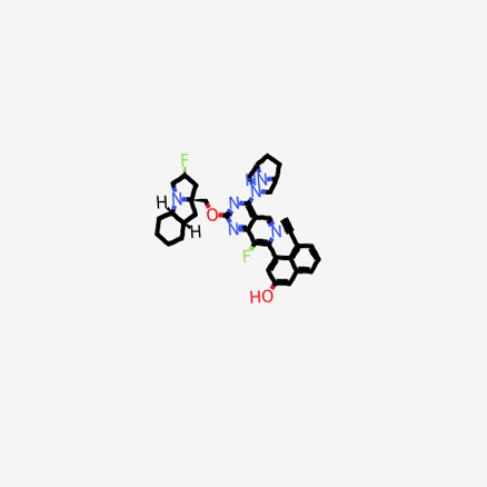 C#Cc1cccc2cc(O)cc(-c3ncc4c(N5CC6CCC(C5)N6)nc(OC[C@]56C[C@H](F)CN5[C@H]5CCCC[C@H]5C6)nc4c3F)c12